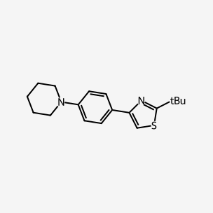 CC(C)(C)c1nc(-c2ccc(N3CCCCC3)cc2)cs1